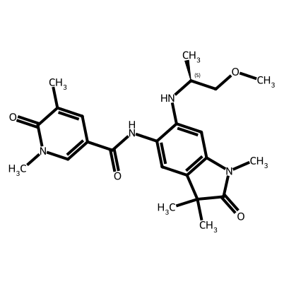 COC[C@H](C)Nc1cc2c(cc1NC(=O)c1cc(C)c(=O)n(C)c1)C(C)(C)C(=O)N2C